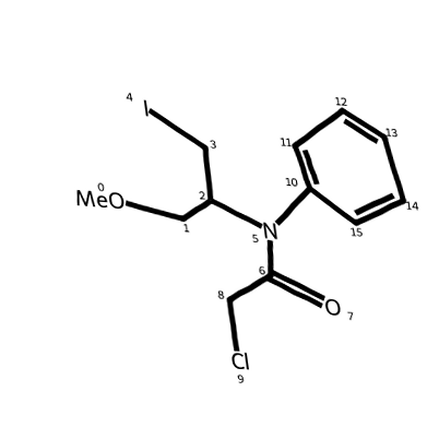 COCC(CI)N(C(=O)CCl)c1ccccc1